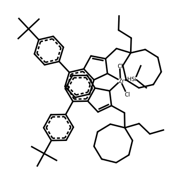 CCCC1(CC2=Cc3c(-c4ccc(C(C)(C)C)cc4)cccc3[CH]2[Zr]([Cl])([Cl])([CH]2C(CC3(CCC)CCCCCCC3)=Cc3c(-c4ccc(C(C)(C)C)cc4)cccc32)[SiH](C)C)CCCCCCC1